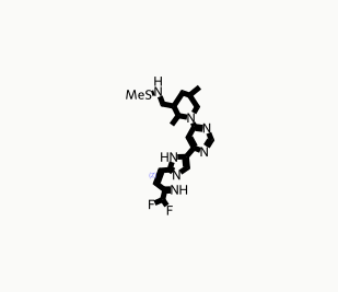 CSNCC1CC(C)CN(c2cc(-c3cnc(/C=C\C(=N)C(F)F)[nH]3)ncn2)C1C